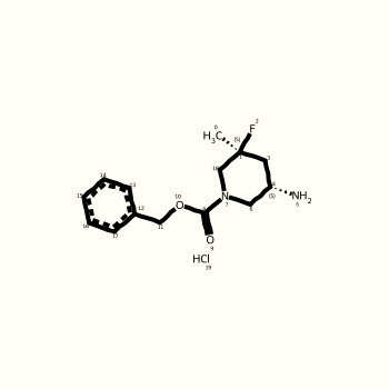 C[C@]1(F)C[C@H](N)CN(C(=O)OCc2ccccc2)C1.Cl